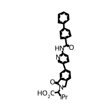 CC(C)C(C(=O)O)N1Cc2ccc(-c3ccc(NC(=O)c4ccc(-c5ccccc5)cc4)nc3)cc2C1=O